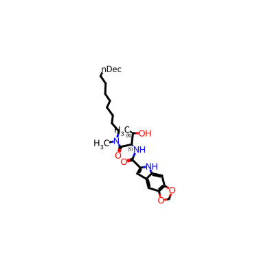 CCCCCCCCCCCCCCCCCCN(C)C(=O)[C@@H](NC(=O)c1cc2cc3c(cc2[nH]1)OCO3)[C@@H](C)O